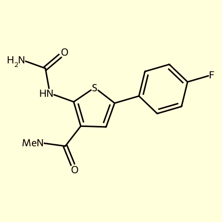 CNC(=O)c1cc(-c2ccc(F)cc2)sc1NC(N)=O